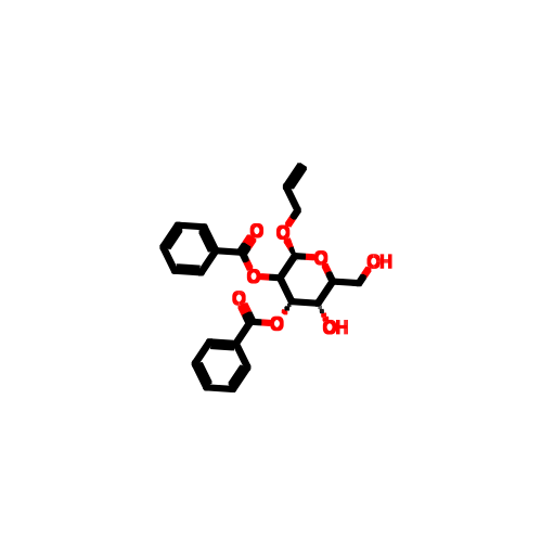 C=CCO[C@H]1OC(CO)[C@H](O)[C@H](OC(=O)c2ccccc2)C1OC(=O)c1ccccc1